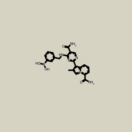 Cc1cn2c(C(N)=O)cccc2c1-c1ncc(C(N)=O)c(NCc2cccc(B(O)O)c2)n1